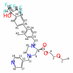 CCOCCOC(=O)[C@H]1CN(Cc2ccncc2)CCN1Cc1ccc(-c2ccc(C(O)(C(F)(F)F)C(F)(F)F)cc2)c(C)c1